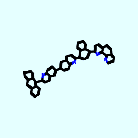 c1ccc2c(-c3ccc4cc(-c5ccc6nc(-c7ccc(-c8ccc9ccc%10cccnc%10c9n8)c8ccccc78)ccc6c5)ccc4n3)c3ccccc3cc2c1